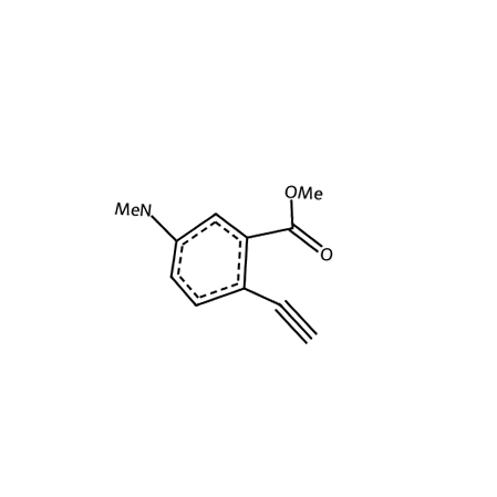 C#Cc1ccc(NC)cc1C(=O)OC